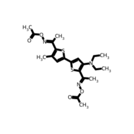 CCN(CC)c1cc(-c2cc(C)c(/C(C)=N/OC(C)=O)s2)sc1/C(C)=N/OC(C)=O